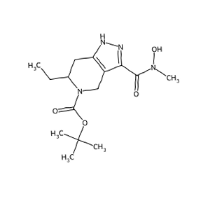 CCC1Cc2[nH]nc(C(=O)N(C)O)c2CN1C(=O)OC(C)(C)C